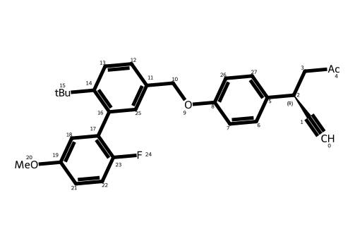 C#C[C@H](CC(C)=O)c1ccc(OCc2ccc(C(C)(C)C)c(-c3cc(OC)ccc3F)c2)cc1